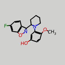 COc1c[c]c(O)cc1N1CCCCC1c1noc2cc(F)ccc12